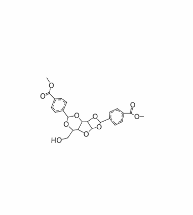 COC(=O)c1ccc(C2OC3OC4C(CO)OC(c5ccc(C(=O)OC)cc5)OC4C3O2)cc1